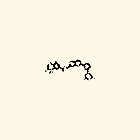 C[C@@H]1CN(c2cccc(-c3ccc4cnc(CNC(=O)c5cc(F)c6c(c5)S(=O)(=O)[C@@H](F)CO6)cc4n3)n2)C[C@H](C)O1